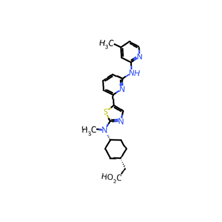 Cc1ccnc(Nc2cccc(-c3cnc(N(C)[C@H]4CC[C@@H](CC(=O)O)CC4)s3)n2)c1